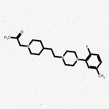 CC(=O)CN1CCC(CCN2CCN(c3cc(C)ccc3F)CC2)CC1